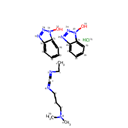 CCN=C=NCCCN(C)C.Cl.On1nnc2ccccc21.On1nnc2ccccc21